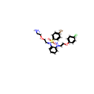 NCCOCCN(c1ccccc1NCCOc1ccc(Cl)cc1)S(=O)(=O)c1ccc(Br)cc1